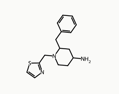 NC1CCN(Cc2nccs2)C(Cc2ccccc2)C1